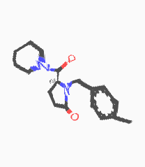 Cc1ccc(CN2C(=O)CC[C@H]2C(=O)N2CCCCC2)cc1